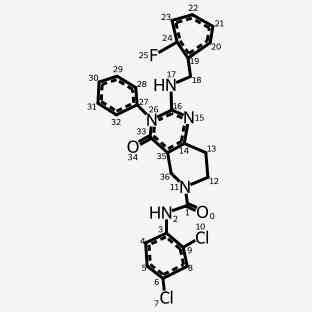 O=C(Nc1ccc(Cl)cc1Cl)N1CCc2nc(NCc3ccccc3F)n(-c3ccccc3)c(=O)c2C1